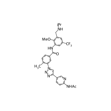 COc1c(CNC(C)C)cc(C(F)(F)F)cc1NC(=O)c1ccc(C)c(-n2cc(-c3ccc(NC(C)=O)nc3)nn2)c1